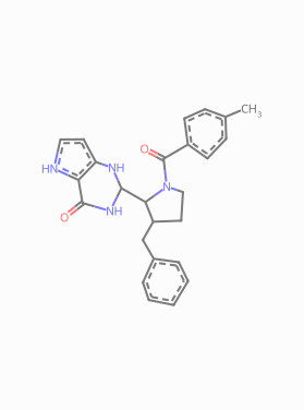 Cc1ccc(C(=O)N2CCC(Cc3ccccc3)C2C2NC(=O)c3[nH]ccc3N2)cc1